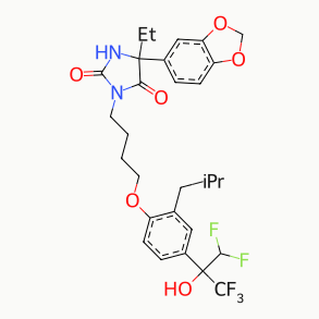 CCC1(c2ccc3c(c2)OCO3)NC(=O)N(CCCCOc2ccc(C(O)(C(F)F)C(F)(F)F)cc2CC(C)C)C1=O